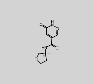 C[C@]1(NC(=O)c2cn[nH]c(=O)c2)CCOC1